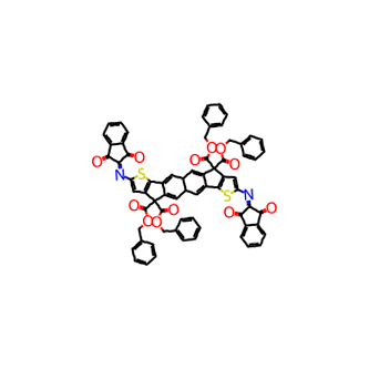 O=C(OCc1ccccc1)C1(C(=O)OCc2ccccc2)C2=CC3C=C4C(=CC3C=C2c2sc(N=c3c(=O)c5ccccc5c3=O)cc21)C(C(=O)OCc1ccccc1)(C(=O)OCc1ccccc1)c1cc(N=c2c(=O)c3ccccc3c2=O)sc14